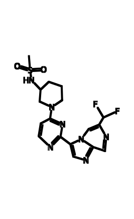 CS(=O)(=O)NC1CCCN(c2ccnc(-c3cnc4cnc(C(F)F)cn34)n2)C1